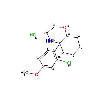 COc1ccc(C23CCCCC2OCCN3)c(Cl)c1.Cl